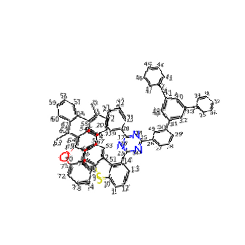 Cc1ccc(-c2ccc3sc4cccc(-c5nc(-c6ccccc6)nc(-c6cccc(-c7cc(-c8ccccc8)cc(-c8ccccc8)c7)c6)n5)c4c3c2)cc1-c1ccccc1C(C)c1cccc2c1oc1ccccc12